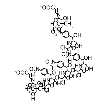 CC(C)(CO)[C@@H](O)C(=O)NCCC(=O)[O-].CC(C)(CO)[C@@H](O)C(=O)NCCC(=O)[O-].O=C(N[C@H](CO)[C@H](O)c1ccc([N+](=O)[O-])cc1)C(Cl)Cl.O=C(N[C@H](CO)[C@H](O)c1ccc([N+](=O)[O-])cc1)C(Cl)Cl.O=C(N[C@H](CO)[C@H](O)c1ccc([N+](=O)[O-])cc1)C(Cl)Cl.O=C(N[C@H](CO)[C@H](O)c1ccc([N+](=O)[O-])cc1)C(Cl)Cl.[Ca+2]